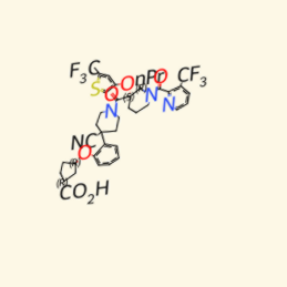 CCC[C@H]1N(C(=O)c2ncccc2C(F)(F)F)CCC[C@@]1(Oc1csc(C(F)(F)F)c1)C(=O)N1CCC(C#N)(c2ccccc2O[C@@H]2CC[C@@H](C(=O)O)C2)CC1